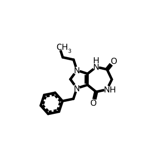 CCCN1CN(Cc2ccccc2)C2=C1NC(=O)CNC2=O